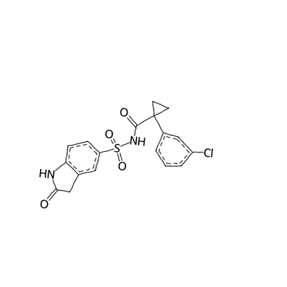 O=C1Cc2cc(S(=O)(=O)NC(=O)C3(c4cccc(Cl)c4)CC3)ccc2N1